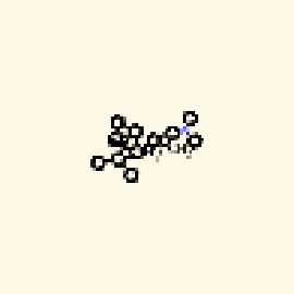 CC1(C)c2cc(-c3ccc4c(c3-c3cccc(-c5ccccc5)c3)C3(c5cc(-c6ccccc6)cc(-c6ccccc6)c5-4)C4CC5CC(C4)CC3C5)ccc2-c2ccc(N(c3ccccc3)c3ccccc3)cc21